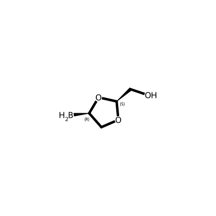 B[C@@H]1CO[C@H](CO)O1